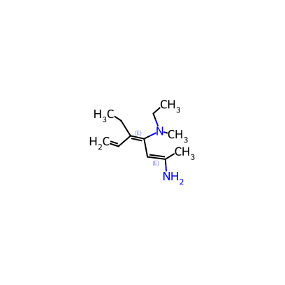 C=C/C(CC)=C(\C=C(/C)N)N(C)CC